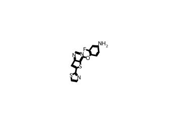 Nc1ccc(Oc2ncnc3cc(-c4nccs4)sc23)c(F)c1